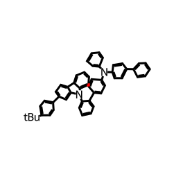 CC(C)(C)c1ccc(-c2ccc3c4ccccc4n(-c4ccccc4-c4ccc(N(c5ccccc5)c5ccc(-c6ccccc6)cc5)cc4)c3c2)cc1